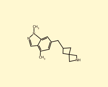 Cc1cc(CC2CC3(CNC3)C2)cc2c1cnn2C